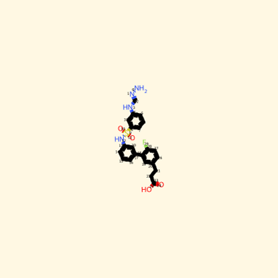 NN=CNc1cccc(S(=O)(=O)Nc2cccc(-c3cc(CCC(=O)O)ccc3F)c2)c1